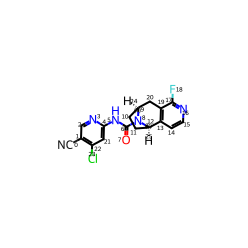 N#Cc1cnc(NC(=O)N2[C@H]3CC[C@@H]2c2ccnc(F)c2C3)cc1Cl